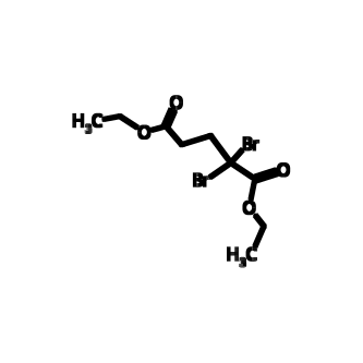 CCOC(=O)CCC(Br)(Br)C(=O)OCC